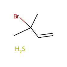 C=CC(C)(C)Br.S